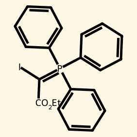 CCOC(=O)C(I)=P(c1ccccc1)(c1ccccc1)c1ccccc1